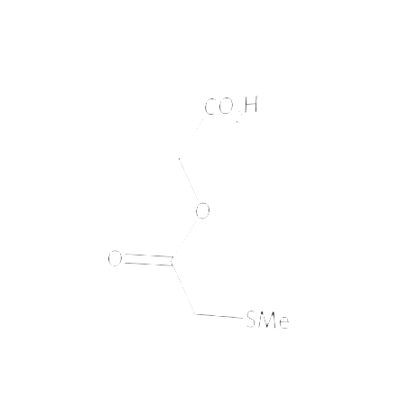 CSCC(=O)OCC(=O)O